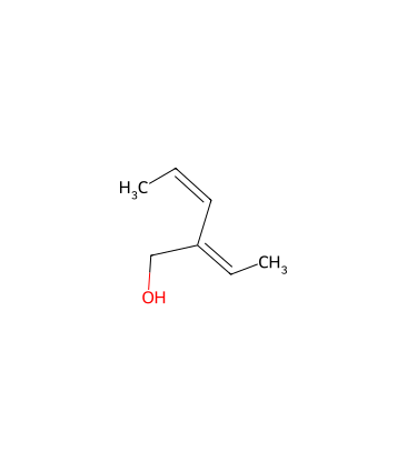 C/C=C\C(=C/C)CO